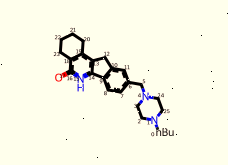 CCCCN1CCN(Cc2ccc3c(c2)Cc2c-3[nH]c(=O)c3c2CCCC3)CC1